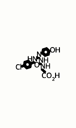 O=C(O)CCNC(=O)N/C(=N\c1ccc(O)cc1)NCc1ccc(Cl)cc1